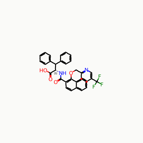 O=C(N[C@H](C(=O)O)C(c1ccccc1)c1ccccc1)c1ccc2ccccc2c1OCc1ccc(C(F)(F)F)cn1